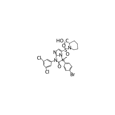 C[C@@]1(c2ccc(Br)cc2)C(=O)N(c2cc(Cl)cc(Cl)c2)c2ncc(S(=O)(=O)N3CCCCC3C(=O)O)n21